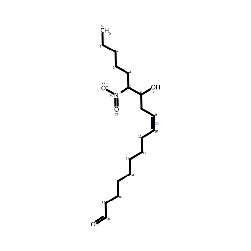 CCCCCC(C(O)C/C=C\CCCCCCC[C]=O)[N+](=O)[O-]